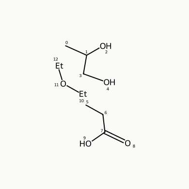 CC(O)CO.CCC(=O)O.CCOCC